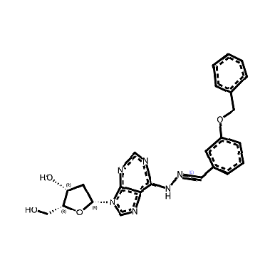 OC[C@H]1O[C@@H](n2cnc3c(N/N=C/c4cccc(OCc5ccccc5)c4)ncnc32)C[C@H]1O